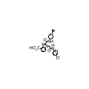 O=C(Cn1c(C(=O)NC2CCN(C3CC3)CC2)nc2c(C(=O)O)cccc21)Nc1ccc(Cl)cn1